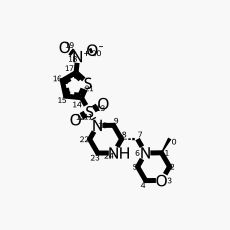 C[C@H]1COCCN1C[C@H]1CN(S(=O)(=O)c2ccc([N+](=O)[O-])s2)CCN1